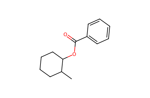 CC1CCCCC1OC(=O)c1ccccc1